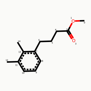 COC(=O)CCCc1cccc(C)c1C